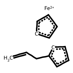 C=CCc1ccc[cH-]1.[Fe+2].c1cc[cH-]c1